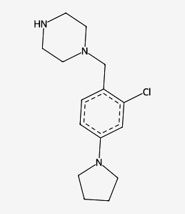 Clc1cc(N2CCCC2)ccc1CN1CCNCC1